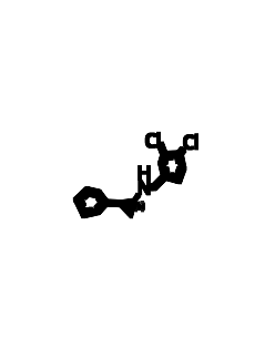 Clc1ccc(CN[C@H]2CC2c2ccccc2)cc1Cl